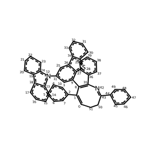 C1=C(c2ccccc2)/C(c2cc(-n3c4ccccc4c4ccccc43)cc3c2sc2ccccc23)=C(c2ccccc2)\N=C(\c2ccccc2)CC\1